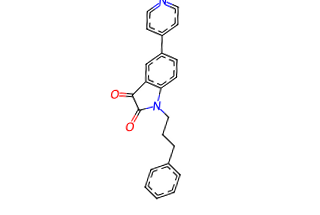 O=C1C(=O)N(CCCc2ccccc2)c2ccc(-c3ccncc3)cc21